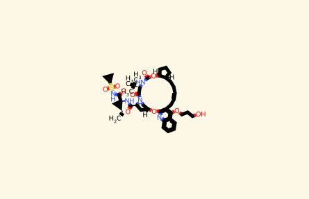 C=C[C@@H]1C[C@]1(NC(=O)[C@@H]1C[C@@H]2CN1C(=O)[C@H](C(C)(C)C)NC(=O)O[C@@H]1CCC[C@H]1CCC=CCc1c(nc3ccccc3c1OCCCO)O2)C(=O)NS(=O)(=O)C1CC1